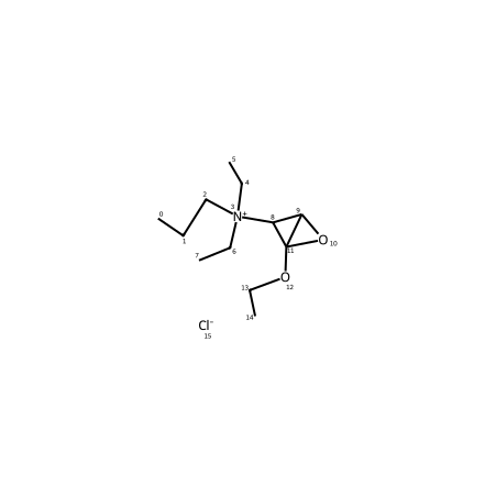 CCC[N+](CC)(CC)C1C2OC21OCC.[Cl-]